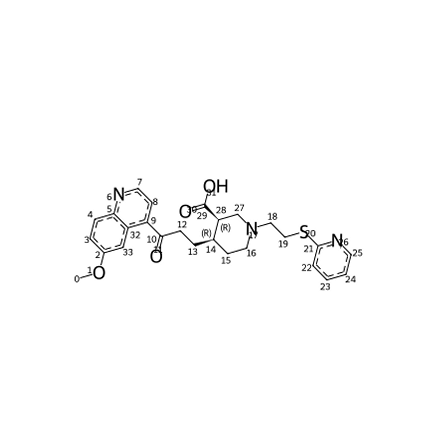 COc1ccc2nccc(C(=O)CC[C@@H]3CCN(CCSc4ccccn4)C[C@@H]3C(=O)O)c2c1